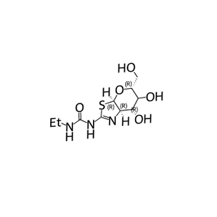 CCNC(=O)NC1=N[C@H]2[C@H](O[C@H](CO)C(O)[C@@H]2O)S1